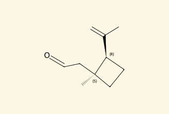 C=C(C)[C@H]1CC[C@@]1(C)CC=O